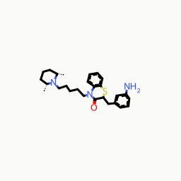 C[C@@H]1CCC[C@H](C)N1CCCCCN1C(=O)C(Cc2cccc(N)c2)Sc2ccccc21